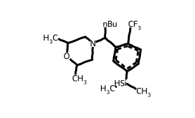 CCCCC(c1cc([SiH](C)C)ccc1C(F)(F)F)N1CC(C)OC(C)C1